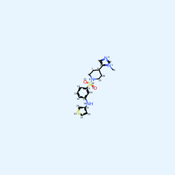 Cn1cncc1C1CCN(S(=O)(=O)c2cccc(Nc3ccsc3)c2)CC1